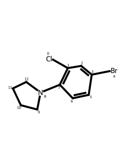 Clc1cc(Br)ccc1N1CCCC1